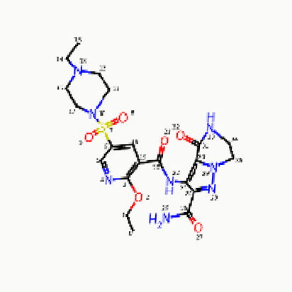 CCOc1ncc(S(=O)(=O)N2CCN(CC)CC2)cc1C(=O)Nc1c(C(N)=O)nn2c1C(=O)NCC2